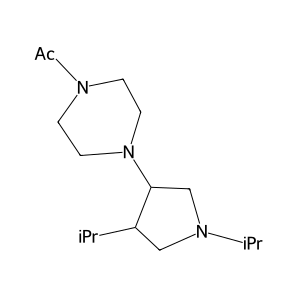 CC(=O)N1CCN(C2CN(C(C)C)CC2C(C)C)CC1